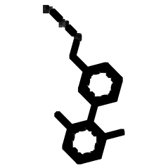 Cc1cccc(C)c1-c1cccc(C[O][Fe][Br])c1